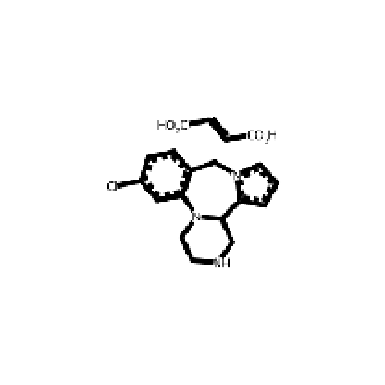 Clc1ccc2c(c1)N1CCNCC1c1cccn1C2.O=C(O)C=CC(=O)O